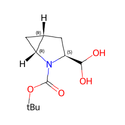 CC(C)(C)OC(=O)N1[C@@H]2C[C@@H]2C[C@H]1C(O)O